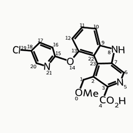 COCc1c(C(=O)O)ncc2[nH]c3cccc(Oc4ccc(Cl)cn4)c3c12